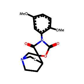 COc1ccc(OC)c(N2C(=O)OC3(CN4CCC3CC4)C2=O)c1